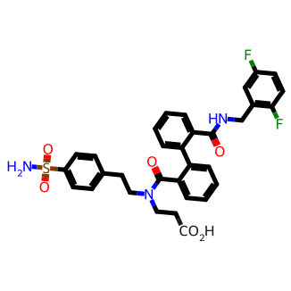 NS(=O)(=O)c1ccc(CCN(CCC(=O)O)C(=O)c2ccccc2-c2ccccc2C(=O)NCc2cc(F)ccc2F)cc1